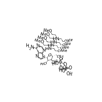 COCCNCCOC.COCCNCCOC.COCCNCCOC.COCCNCCOC.Nc1ncnc2c1ncn2[C@@H]1O[C@H](CO)[C@@H](O)[C@H]1O.O=P(O)(O)OP(=O)(O)O